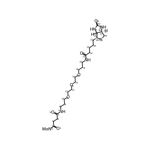 CNC(=O)CCC(=O)NCCCOCCOCCOCCCNC(=O)CCCC[C@@H]1SC[C@@H]2NC(=O)N[C@@H]21